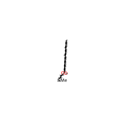 CC#CC#CC#CC#CC#CC#CC#CC#CC(=O)OCCCCNC